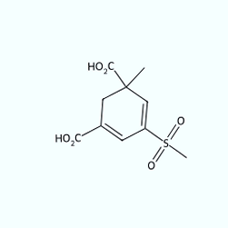 CC1(C(=O)O)C=C(S(C)(=O)=O)C=C(C(=O)O)C1